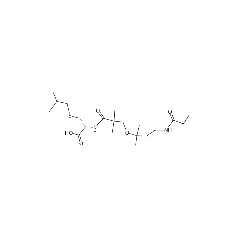 CCC(=O)NCCC(C)(C)OCC(C)(C)C(=O)N[C@@H](CSCC(C)C)C(=O)O